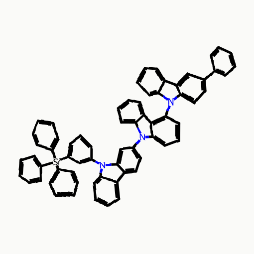 c1ccc(-c2ccc3c(c2)c2ccccc2n3-c2cccc3c2c2ccccc2n3-c2ccc3c4ccccc4n(-c4cccc([Si](c5ccccc5)(c5ccccc5)c5ccccc5)c4)c3c2)cc1